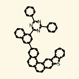 c1ccc(-c2nc(-c3ccccc3)nc(-c3cc(-c4ccc5c(ccc6ccc7cc8sc9ccccc9c8cc7c65)c4)cc4ccccc34)n2)cc1